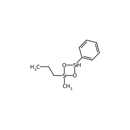 CCC[Si]1(C)O[SiH](c2ccccc2)O1